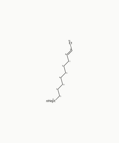 [CH2]CCCCCCCCCCCCC/C=C/CC